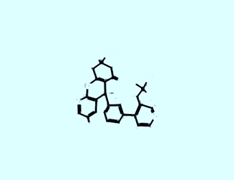 CC1(C)CC(=O)C2=C(C1)Nc1ncc(F)cc1[C@@]2(C)c1cccc(-c2ccncc2CC(F)(F)F)c1